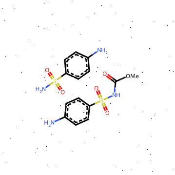 COC(=O)NS(=O)(=O)c1ccc(N)cc1.Nc1ccc(S(N)(=O)=O)cc1